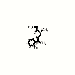 C=CC(=O)N(C)Cc1oc2cccc(O)c2c1C